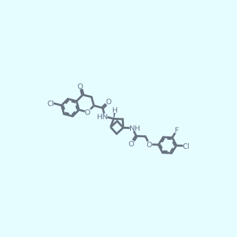 O=C(COc1ccc(Cl)c(F)c1)NC12CC(C1)[C@H](NC(=O)C1CC(=O)c3cc(Cl)ccc3O1)C2